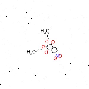 CCCCOC1=C(OCCCC)C(=O)c2cc([N+](=O)[O-])ccc2C1=O